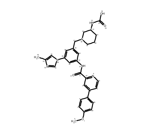 COc1ccc(-c2ccnc(C(=O)Nc3cc(CN4CCC[C@H](NC(=O)O)C4)cc(-n4cnc(C)c4)c3)c2)cc1